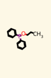 CCCOP(c1ccccc1)c1ccccc1